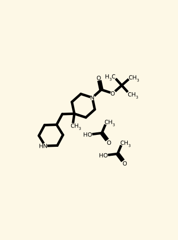 CC(=O)O.CC(=O)O.CC1(CC2CCNCC2)CCN(C(=O)OC(C)(C)C)CC1